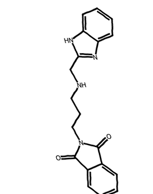 O=C1c2ccccc2C(=O)N1CCCNCc1nc2ccccc2[nH]1